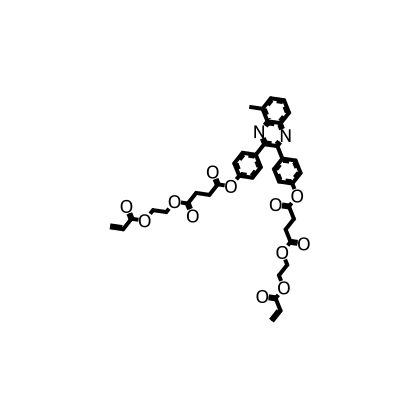 C=CC(=O)OCCOC(=O)CCC(=O)Oc1ccc(-c2nc3cccc(C)c3nc2-c2ccc(OC(=O)CCC(=O)OCCOC(=O)C=C)cc2)cc1